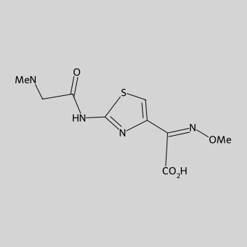 CNCC(=O)Nc1nc(C(=NOC)C(=O)O)cs1